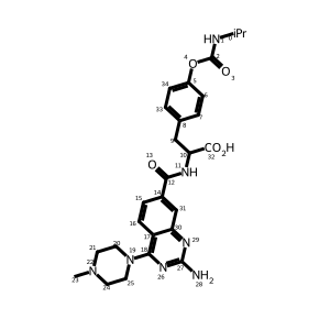 CC(C)NC(=O)Oc1ccc(CC(NC(=O)c2ccc3c(N4CCN(C)CC4)nc(N)nc3c2)C(=O)O)cc1